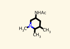 CC(=O)NC1CC(C)C(C)N(C)C1